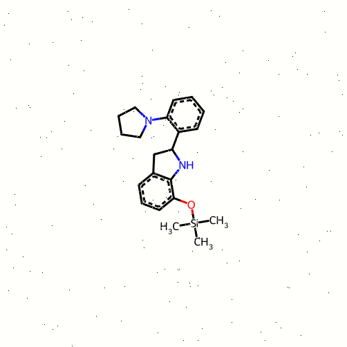 C[Si](C)(C)Oc1cccc2c1NC(c1ccccc1N1CCCC1)C2